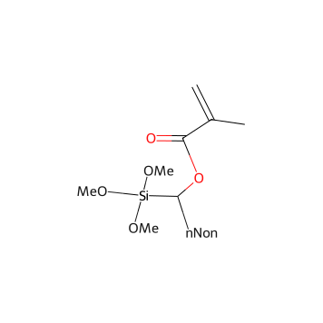 C=C(C)C(=O)OC(CCCCCCCCC)[Si](OC)(OC)OC